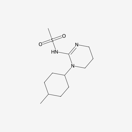 CC1CCC(N2CCCN=C2NS(C)(=O)=O)CC1